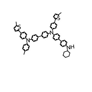 Cc1ccc(N(c2ccc(-c3ccc(N(c4ccc(-c5ccc(NC6CCCCC6)cc5)cc4)c4ccc(-c5ccc(C)s5)cc4)cc3)cc2)c2ccc(-c3ccc(C)s3)cc2)cc1